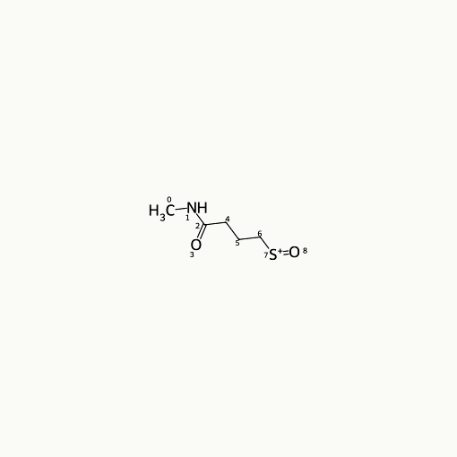 CNC(=O)CCC[S+]=O